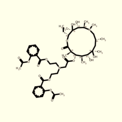 CC[C@H]1OC(=O)[C@H](C)[C@@H](OC(=O)CN(CCOC(=O)c2ccccc2OC(C)=O)CCOC(=O)c2ccccc2OC(C)=O)[C@H](C)[C@@H](O)[C@](C)(O)C[C@@H](C)CN(C)[C@H](C)[C@@H](O)[C@]1(C)O